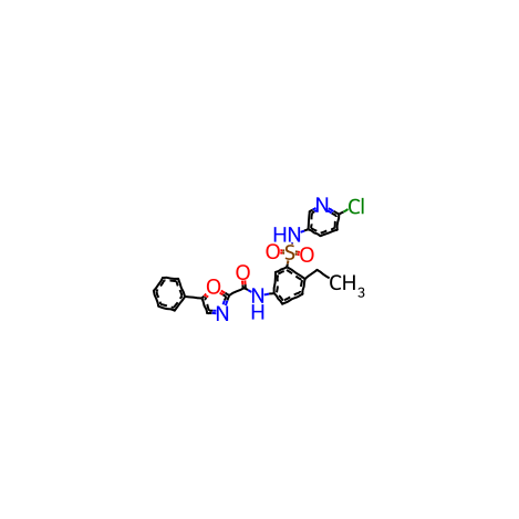 CCc1ccc(NC(=O)c2ncc(-c3ccccc3)o2)cc1S(=O)(=O)Nc1ccc(Cl)nc1